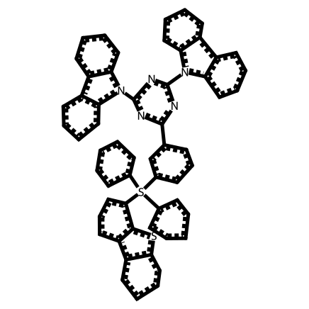 c1ccc(S(c2ccccc2)(c2cccc(-c3nc(-n4c5ccccc5c5ccccc54)nc(-n4c5ccccc5c5ccccc54)n3)c2)c2cccc3c2sc2ccccc23)cc1